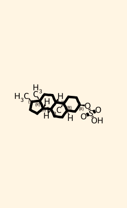 C[C@H]1CC[C@H]2[C@@H]3CC[C@@H]4C[C@H](OS(=O)(=O)O)CC[C@]4(C)[C@H]3CC[C@]12C